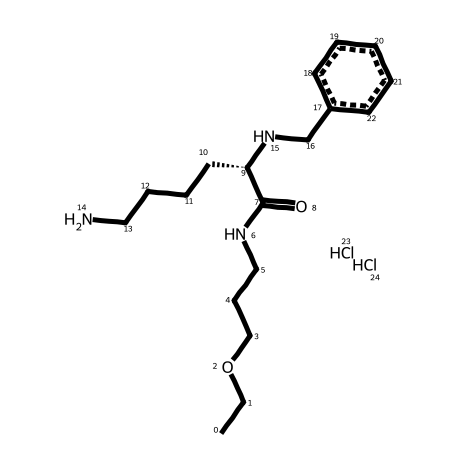 CCOCCCNC(=O)[C@H](CCCCN)NCc1ccccc1.Cl.Cl